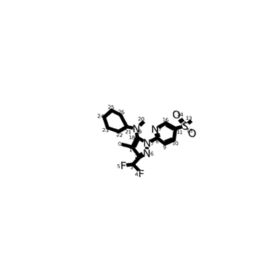 Cc1c(C(F)F)nn(-c2ccc(S(C)(=O)=O)cn2)c1N(C)C1CCCCC1